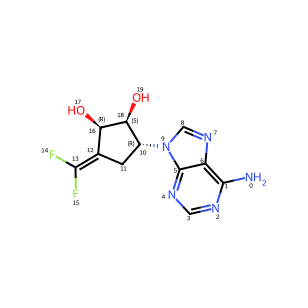 Nc1ncnc2c1ncn2[C@@H]1CC(=C(F)F)[C@@H](O)[C@H]1O